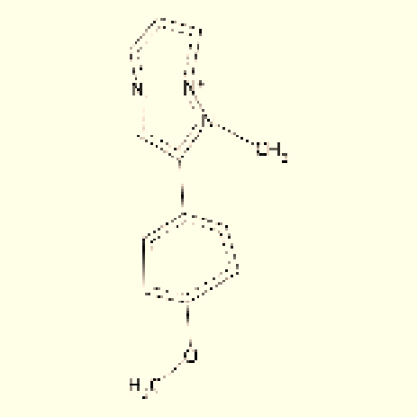 COc1ccc(-c2cn3ccc[n+]3n2C)cc1